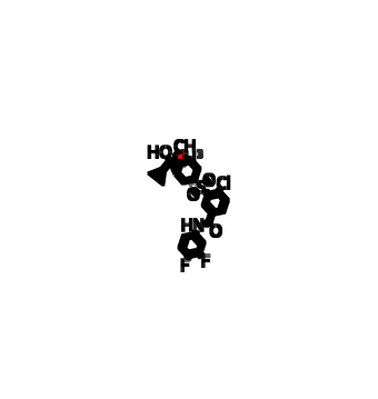 C[C@H]1CC2C[C@@H](S(=O)(=O)c3cc(C(=O)Nc4ccc(F)c(F)c4)ccc3Cl)CC1[C@@]2(O)C(O)C1CC1